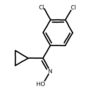 ON=C(c1ccc(Cl)c(Cl)c1)C1CC1